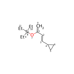 C=C(/C=C/C1CC1)O[Si](CC)(CC)CC